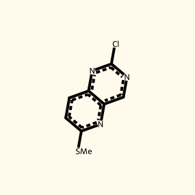 CSc1ccc2nc(Cl)ncc2n1